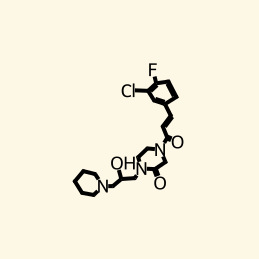 O=C(C=Cc1ccc(F)c(Cl)c1)N1CCN(CC(O)CN2CCCCC2)C(=O)C1